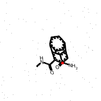 CNC(=O)c1ccc2c(C(N)=O)c1-c1ccc-2cc1